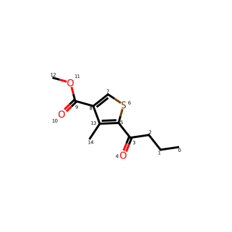 CCCC(=O)c1scc(C(=O)OC)c1C